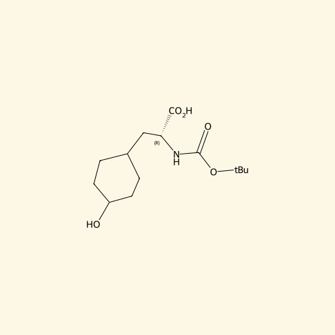 CC(C)(C)OC(=O)N[C@H](CC1CCC(O)CC1)C(=O)O